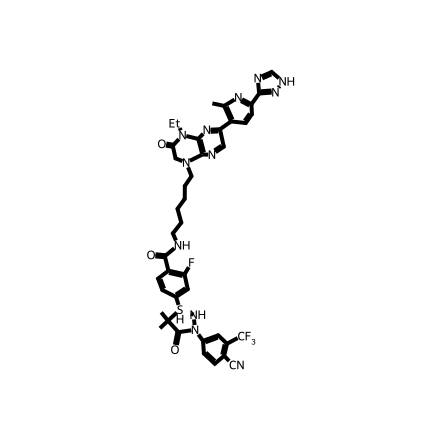 CCN1C(=O)CN(CCCCCCNC(=O)c2ccc([SH]3NN(c4ccc(C#N)c(C(F)(F)F)c4)C(=O)C3(C)C)cc2F)c2ncc(-c3ccc(-c4nc[nH]n4)nc3C)nc21